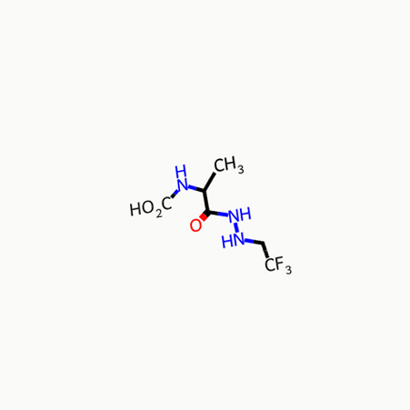 CC(NC(=O)O)C(=O)NNCC(F)(F)F